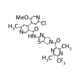 COc1cnc(Cl)cc1-c1cc(C)ncc1C(=O)Nc1nc2c(s1)CN(C(=O)c1nc(C)c(C(F)(F)F)nc1C)C2